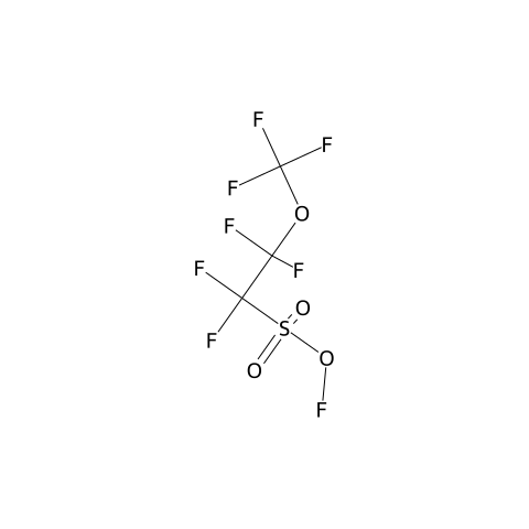 O=S(=O)(OF)C(F)(F)C(F)(F)OC(F)(F)F